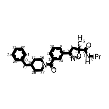 CC(C)NC(=O)C1(C)CC(c2cccc(C(=O)N3CCC(Cc4ccccc4)CC3)c2)=NO1